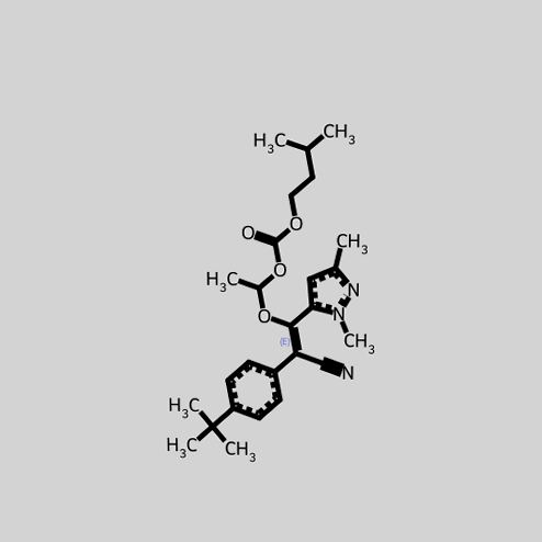 Cc1cc(/C(OC(C)OC(=O)OCCC(C)C)=C(\C#N)c2ccc(C(C)(C)C)cc2)n(C)n1